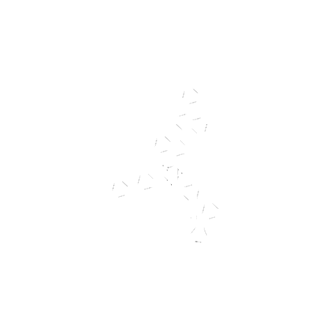 c1ccc(-c2ccc(-c3nc(-c4ccc(-c5cccc6c5oc5ccccc56)cc4)nc(-c4ccc(-c5ccc(-c6ccccc6)c6ccccc56)c5ccccc45)n3)cc2)cc1